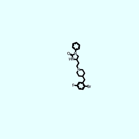 O=C1NC(CCN2CCC(Cc3cc(F)ccc3Br)CC2)CN1c1ccccc1